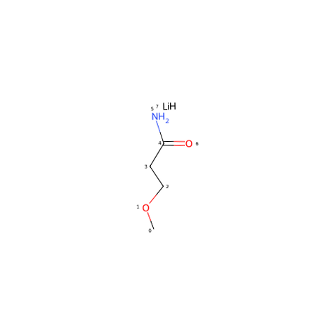 COCCC(N)=O.[LiH]